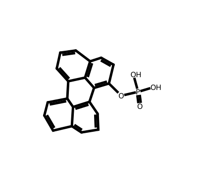 O=P(O)(O)Oc1ccc2cccc3c4cccc5cccc(c1c23)c54